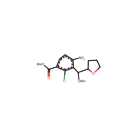 COC(=O)c1ccc([N+](=O)[O-])c(C(OC)C2CCCO2)c1Cl